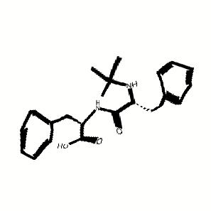 CC(C)(C)N[C@H](Cc1ccccc1)C(=O)N[C@H](Cc1ccccc1)C(=O)O